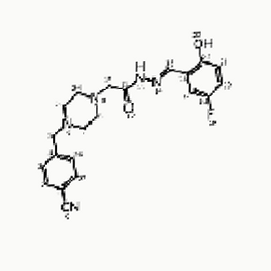 N#Cc1ccc(CN2CCN(CC(=O)NN=Cc3cc(F)ccc3O)CC2)cc1